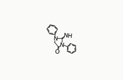 N=C1N(c2ccccc2)CC(=O)N1c1ccccc1